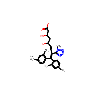 Cc1ccc(C(=C(C=CC(O)CC(O)CC(=O)[O-])c2nnnn2C)c2ccc(C)cc2C)c(C)c1.[Na+]